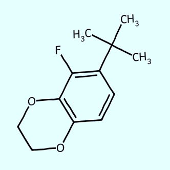 CC(C)(C)c1ccc2c(c1F)OCCO2